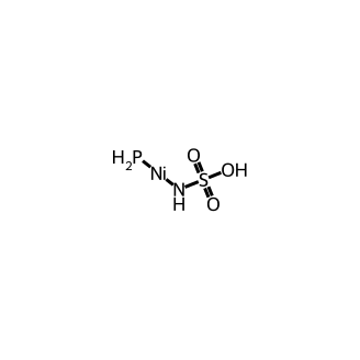 O=S(=O)(O)[NH][Ni][PH2]